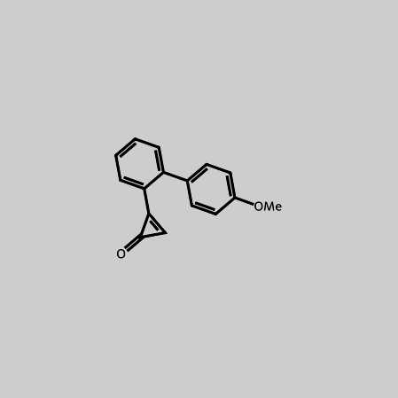 COc1ccc(-c2ccccc2-c2cc2=O)cc1